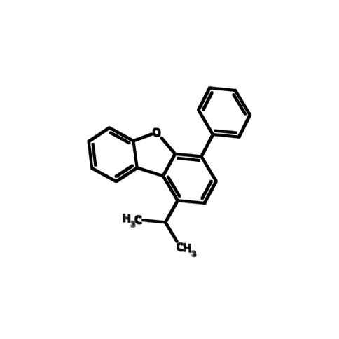 CC(C)c1ccc(-c2ccccc2)c2oc3ccccc3c12